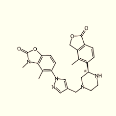 Cc1c([C@@H]2CN(Cc3cnn(-c4ccc5oc(=O)n(C)c5c4C)c3)CCN2)ccc2c1COC2=O